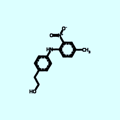 Cc1ccc(Nc2ccc(CCO)cc2)c([N+](=O)[O-])c1